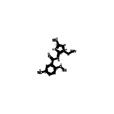 CCOc1ccc(C#N)cc1C(=O)/N=c1\sc(C(C)(C)C)cn1CC(C)C